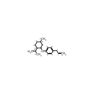 C=CCc1ccc(OC2CC(C)CCC2C(C)C)cc1